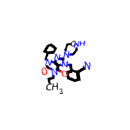 CCCn1c(=O)c2c(nc(N3CCCNCC3)n2Cc2ccccc2C#N)n(Cc2ccccc2)c1=O